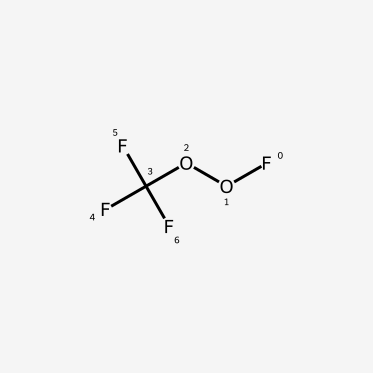 FOOC(F)(F)F